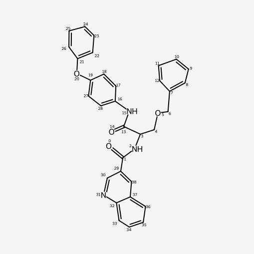 O=C(NC(COCc1ccccc1)C(=O)Nc1ccc(Oc2ccccc2)cc1)c1cnc2ccccc2c1